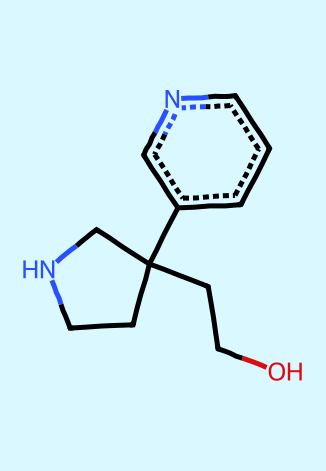 OCCC1(c2cccnc2)CCNC1